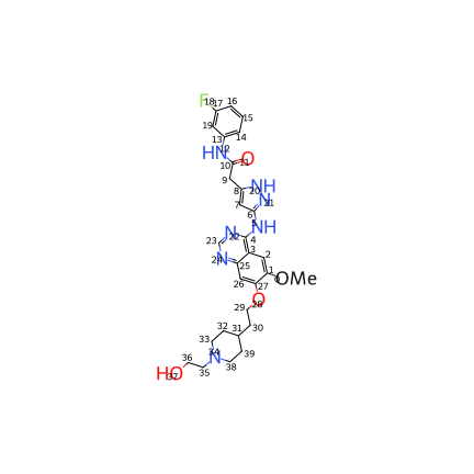 COc1cc2c(Nc3cc(CC(=O)Nc4cccc(F)c4)[nH]n3)ncnc2cc1OCCC1CCN(CCO)CC1